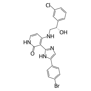 O=c1[nH]ccc(NC[C@@H](O)c2cccc(Cl)c2)c1-c1ncc(-c2ccc(Br)cc2)[nH]1